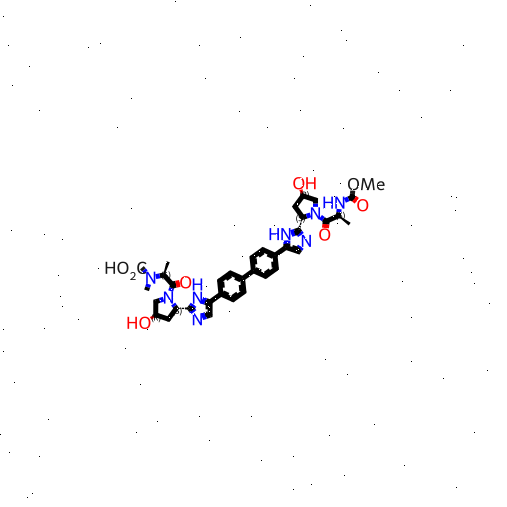 COC(=O)N[C@@H](C)C(=O)N1C[C@H](O)C[C@H]1c1ncc(-c2ccc(-c3ccc(-c4cnc([C@@H]5C[C@@H](O)CN5C(=O)[C@H](C)N(C)C(=O)O)[nH]4)cc3)cc2)[nH]1